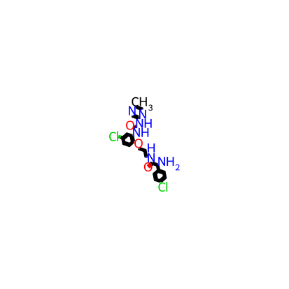 Cc1cnc(NC(=O)Nc2cc(Cl)ccc2OCCCNC(=O)C(N)c2ccc(Cl)cc2)cn1